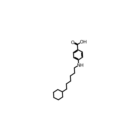 O=C(O)c1ccc(NCCCCCCC2CCCCC2)cc1